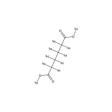 [2H]OC(=O)C([2H])([2H])C([2H])([2H])C([2H])([2H])C([2H])([2H])C(=O)O[2H]